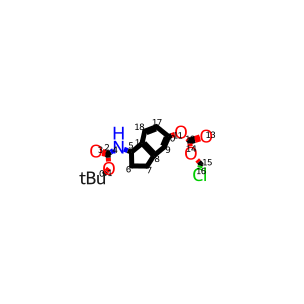 CC(C)(C)OC(=O)NC1CCc2cc(OC(=O)OCCl)ccc21